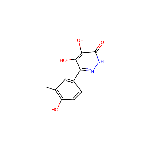 Cc1cc(-c2n[nH]c(=O)c(O)c2O)ccc1O